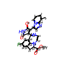 Cc1cccn2c(C3=C(C4=NC=CN5c6c(cc(F)cc64)CC5C(=O)OC(C)C)C(=O)NC3=O)cnc12